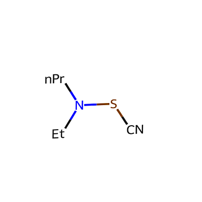 CCCN(CC)SC#N